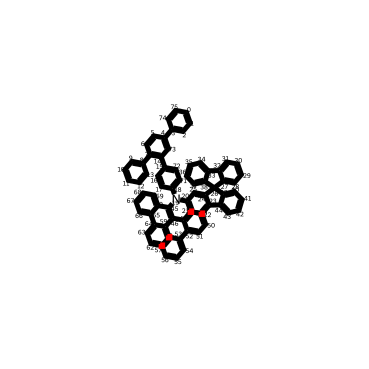 c1ccc(-c2ccc(-c3ccccc3)c(-c3ccc(N(c4ccc5c(c4)C4(c6ccccc6-c6ccccc64)c4ccccc4-5)c4c(-c5ccccc5-c5ccccc5)c5ccccc5c5ccccc45)cc3)c2)cc1